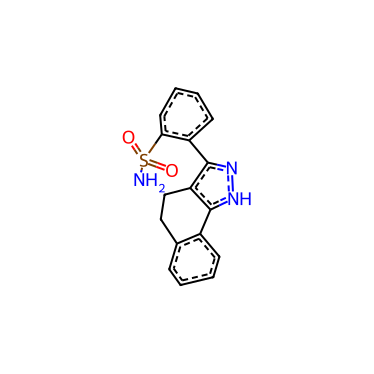 NS(=O)(=O)c1ccccc1-c1n[nH]c2c1CCc1ccccc1-2